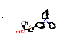 C#CC(O)c1ccc(-c2ccc(N(c3ccccc3)c3ccccc3)cc2)s1